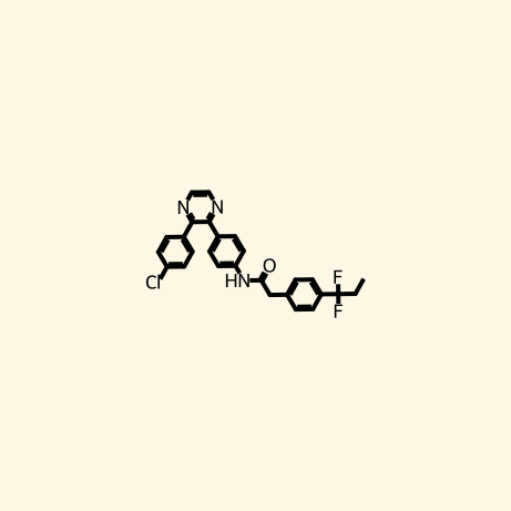 CCC(F)(F)c1ccc(CC(=O)Nc2ccc(-c3nccnc3-c3ccc(Cl)cc3)cc2)cc1